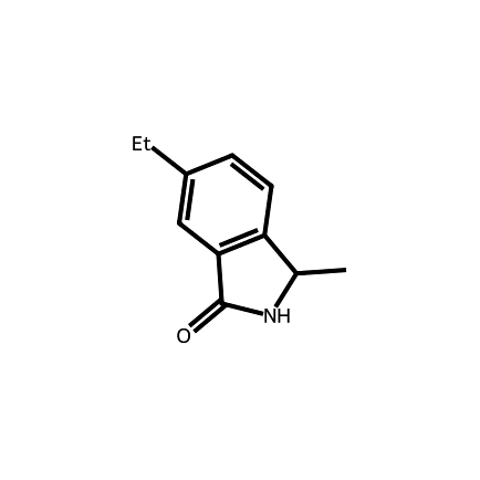 CCc1ccc2c(c1)C(=O)NC2C